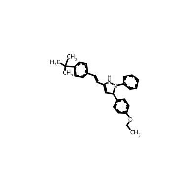 CCOc1ccc(C2C=C(C=Cc3ccc(C(C)(C)C)cc3)NN2c2ccccc2)cc1